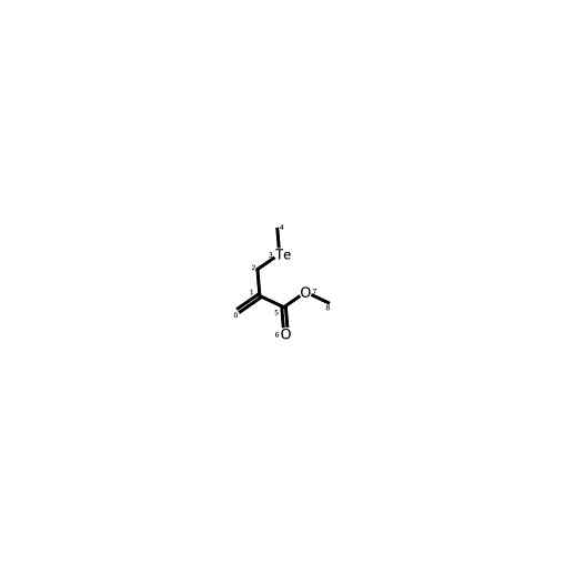 C=C(C[Te]C)C(=O)OC